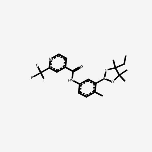 CCC1(C)OB(c2cc(NC(=O)c3ccnc(C(F)(F)F)c3)ccc2C)OC1(C)C